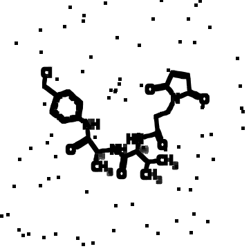 CC(C)[C@H](NC(=O)CCN1C(=O)C=CC1=O)C(=O)N[C@@H](C)C(=O)Nc1ccc(CCl)cc1